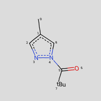 Cc1cnn(C(=O)C(C)(C)C)c1